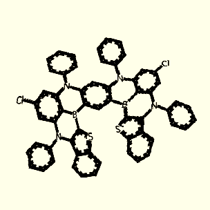 Clc1cc2c3c(c1)N(c1ccccc1)c1c(sc4ccccc14)B3c1cc3c(cc1N2c1ccccc1)N(c1ccccc1)c1cc(Cl)cc2c1B3c1sc3ccccc3c1N2c1ccccc1